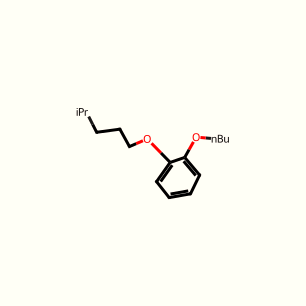 CCCCOc1ccccc1OCCCC(C)C